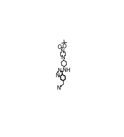 CC(C)(C)OC(=O)N1CCN(C2CCC(Nc3ncnc4cc(CC#N)ccc34)CC2)CC1